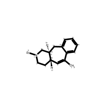 CCN1CC[C@H]2C=C(C)c3ccccc3C[C@@H]2C1